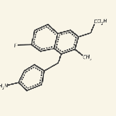 Cc1c(CC(=O)O)cc2ccc(F)cc2c1Cc1ccc(N)cc1